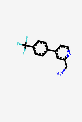 NCc1cc(-c2ccc(C(F)(F)F)cc2)ccn1